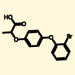 CC(Oc1ccc(Oc2ccccc2Br)cc1)C(=O)O